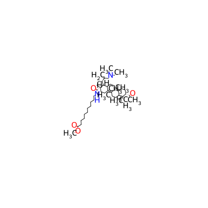 C=C(CN(CC)CC)[C@@H]1CC[C@]2(C(=O)NCCCCCCCCCCC(=O)OC)CC[C@]3(C)[C@H](CCC4[C@@]5(C)CC[C@H](C(C)=O)C(C)(C)[C@@H]5CC[C@]43C)[C@@H]12